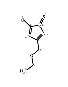 CCOCC1=NS(=S)C(Cl)=N1